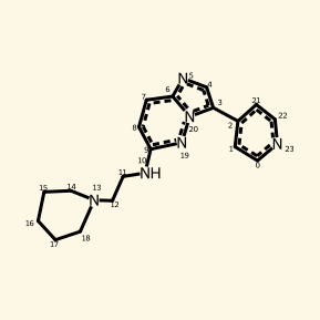 c1cc(-c2cnc3ccc(NCCN4CCCCC4)nn23)ccn1